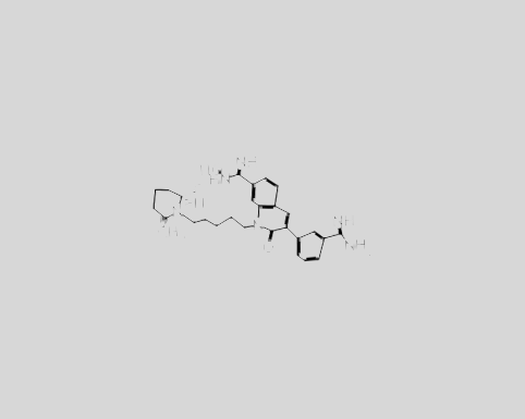 C[C@@H]1CCC[C@H](C)N1CCCCCn1c(=O)c(-c2cccc(C(=N)N)c2)cc2ccc(C(=N)NO)cc21